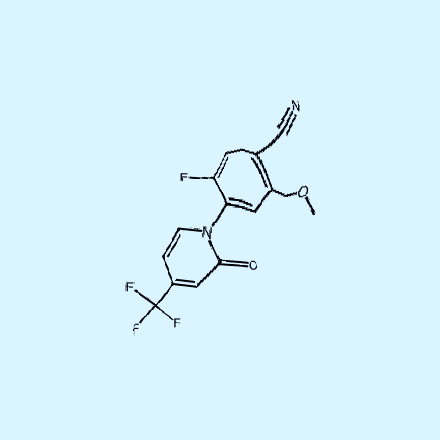 COc1cc(-n2ccc(C(F)(F)F)cc2=O)c(F)cc1C#N